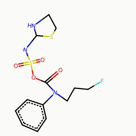 O=C(OS(=O)(=O)[N]C1NCCS1)N(CCCF)c1ccccc1